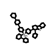 CCC[N+](c1ccc(-c2ccc(-c3ccccc3)cc2)cc1)(c1ccc(-c2ccc3c(sc4ccccc43)c2-c2ccccc2)cc1)c1ccccc1-c1ccccc1